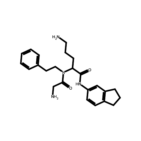 NCCCC(C(=O)Nc1ccc2c(c1)CCC2)N(CCc1ccccc1)C(=O)CN